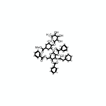 COC(=O)C1CC(C)C(OC2OC(C)C(O)C(O)C2O)C(OC2OC(COC(=O)c3ccccc3)C(OC(=O)c3ccccc3)C(O[C@@H](CC3CCCCC3)C(=O)O)C2OC(=O)c2ccccc2)C1